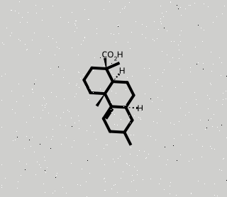 CC1CC=C2[C@@H](CC[C@@H]3[C@](C)(C(=O)O)CCC[C@@]23C)C1